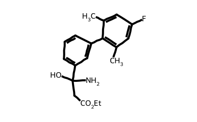 CCOC(=O)CC(N)(O)c1cccc(-c2c(C)cc(F)cc2C)c1